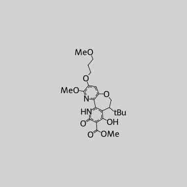 COCCCOc1cc2c(nc1OC)-c1[nH]c(=O)c(C(=O)OC)c(O)c1C(C(C)(C)C)CO2